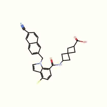 N#Cc1ccc2cc(Cn3ccc4c(F)ccc(C(=O)NC5CC6(C5)CC(C(=O)O)C6)c43)ccc2c1